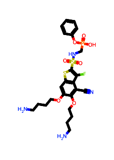 N#Cc1c(OCCCCN)c(OCCCCN)cc2sc(S(=O)(=O)NCP(=O)(O)Oc3ccccc3)c(F)c12